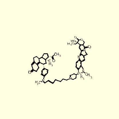 CC[C@@]1(O)C(=O)OCc2c1cc1n(c2=O)Cc2cc3c(CN(C)C)c(OC4CCN(CCCCCCCN(C)c5ccc([C@H]6C[C@@]7(C)C(CC[C@@H]7C(C)=O)C7CCC8=CC(=O)CCC8=C76)cc5)CC4)ccc3nc2-1